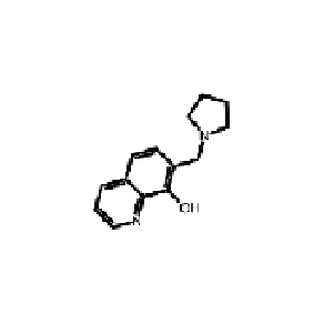 Oc1c(CN2CCCC2)ccc2cccnc12